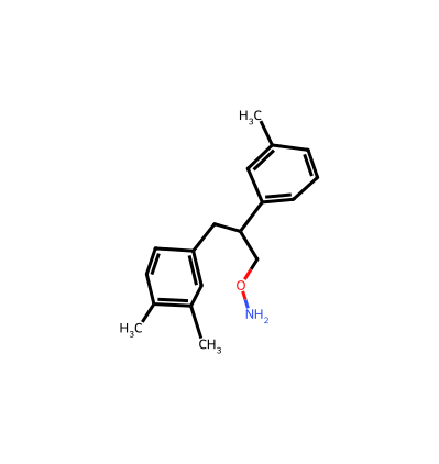 Cc1cccc(C(CON)Cc2ccc(C)c(C)c2)c1